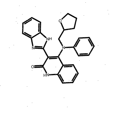 O=c1[nH]c2ccccc2c(N(CC2CCCO2)c2ccccc2)c1-c1nc2ccccc2[nH]1